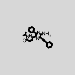 CC(C)n1nc(-c2nc(C#Cc3ccccc3)c(N)nc2-c2ccccc2)ccc1=O